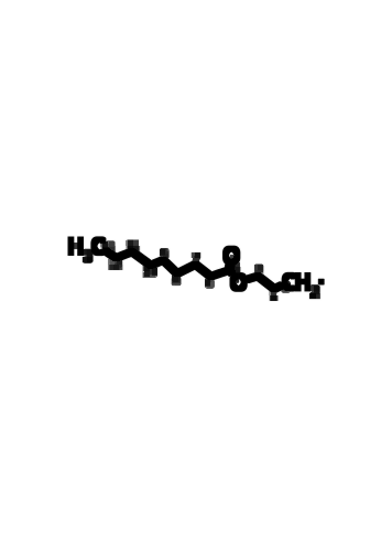 [CH2]CCOC(=O)CCCCCCCC